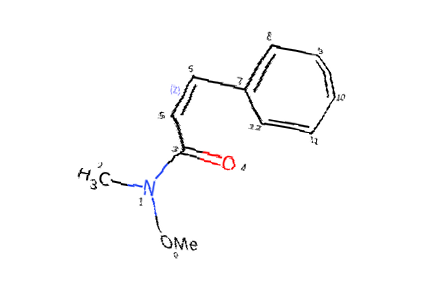 CON(C)C(=O)/C=C\c1ccccc1